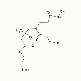 COCCOC(=O)CC(C)(C)CN(CCC(=O)NO)C(=O)CCC(C)C